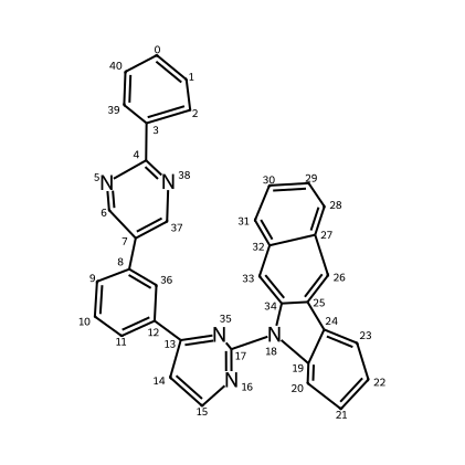 c1ccc(-c2ncc(-c3cccc(-c4ccnc(-n5c6ccccc6c6cc7ccccc7cc65)n4)c3)cn2)cc1